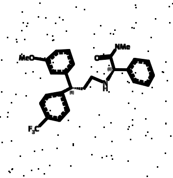 CNC(=O)[C@H](NCC[C@H](c1ccc(C(F)(F)F)cc1)c1cccc(OC)c1)c1ccccc1